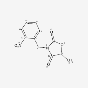 CC1OC(=O)N(Cc2ccccc2[N+](=O)[O-])C1=O